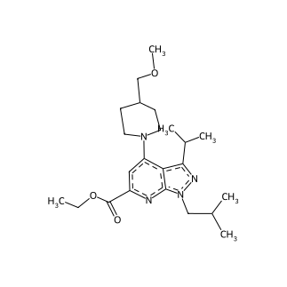 CCOC(=O)c1cc(N2CCC(COC)CC2)c2c(C(C)C)nn(CC(C)C)c2n1